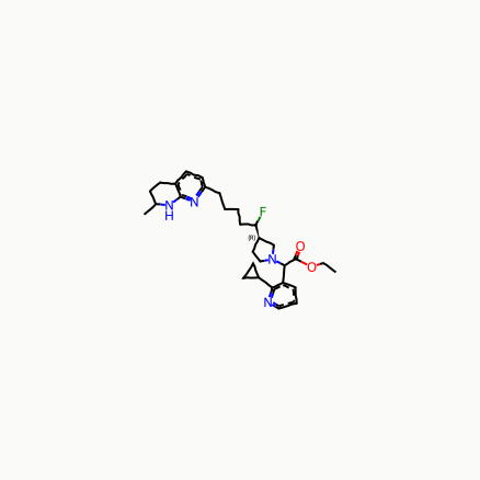 CCOC(=O)C(c1cccnc1C1CC1)N1CC[C@@H](C(F)CCCCc2ccc3c(n2)NC(C)CC3)C1